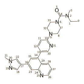 CCN(C)C(=O)N1CCN(c2ccc(-c3cc(-c4cnn(C)c4)cc4ncccc34)cn2)CC1